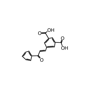 O=C(O)c1cc(/C=C/C(=O)c2ccccc2)cc(C(=O)O)c1